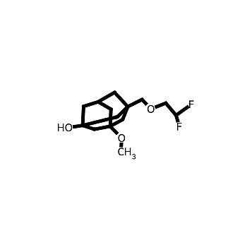 COC12CC3CC(O)(CC(COCC(F)F)(C3)C1)C2